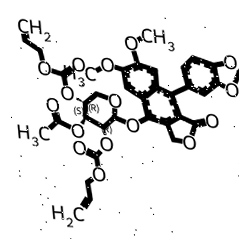 C=CCOC(=O)O[C@@H]1COC(Oc2c3c(c(-c4ccc5c(c4)OCO5)c4cc(OC)c(OC)cc24)C(=O)OC3)[C@H](OC(=O)OCC=C)[C@H]1OC(C)=O